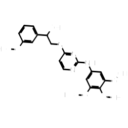 COc1cccc(C(O)CNc2ccnc(Nc3cc(OC)c(OC)c(OC)c3)n2)c1